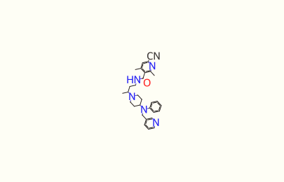 Cc1cc(C#N)nc(C)c1C(=O)NCCC(C)N1CCC(N(Cc2cccnc2)c2ccccc2)CC1